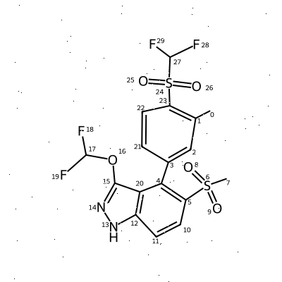 Cc1cc(-c2c(S(C)(=O)=O)ccc3[nH]nc(OC(F)F)c23)ccc1S(=O)(=O)C(F)F